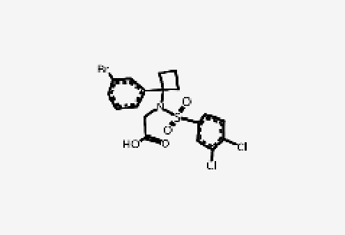 O=C(O)CN(C1(c2cccc(Br)c2)CCC1)S(=O)(=O)c1ccc(Cl)c(Cl)c1